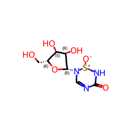 O=C1N=CN([C@@H]2O[C@H](CO)[C@@H](O)[C@H]2O)[S+]([O-])N1